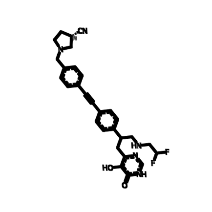 N#C[C@H]1CCN(Cc2ccc(C#Cc3ccc(C(CNCC(F)F)Cc4nc[nH]c(=O)c4O)cc3)cc2)C1